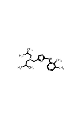 Cc1cccc(Nc2nc(CN(CC(C)C)CC(C)C)co2)c1C